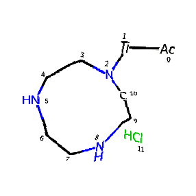 C[C](=O)[Ti][N]1CCNCCNCC1.Cl